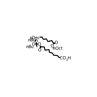 CCCCCCCCCCCCCCCC(=O)OCCCCCCCC.CCCCOC(C)(OCCCC)OC(=O)CCCCCCCCC(=O)O